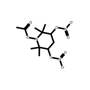 CC(=O)ON1C(C)(C)C(O[N+](=O)[O-])CC(O[N+](=O)[O-])C1(C)C